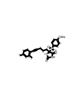 COc1ccc(S(=O)(=O)C2(CCCC#Cc3ccc(C)cc3C)SC(=O)NC2=O)cc1